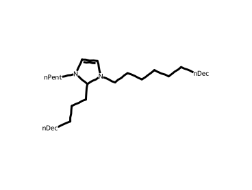 CCCCCCCCCCCCCCCCN1C=CN(CCCCC)C1CCCCCCCCCCCCC